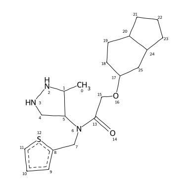 CC1NNCC1N(Cc1cccs1)C(=O)COC1CCC2CCCC2C1